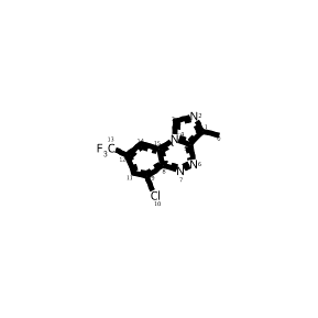 Cc1ncn2c1nnc1c(Cl)cc(C(F)(F)F)cc12